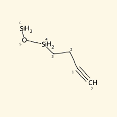 C#CCC[SiH2]O[SiH3]